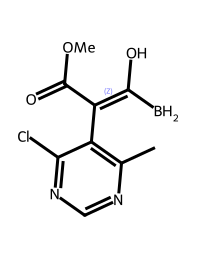 B/C(O)=C(/C(=O)OC)c1c(C)ncnc1Cl